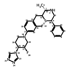 C[C@@H]1NC[C@@H](c2ccccc2)SC1Cc1ccc(N2CC[C@H](n3cnnc3)[C@H](F)C2)cc1F